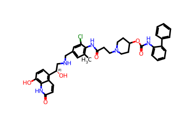 Cc1cc(CNC[C@H](O)c2ccc(O)c3[nH]c(=O)ccc23)cc(Cl)c1NC(=O)CCN1CCC(OC(=O)Nc2ccccc2-c2ccccc2)CC1